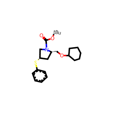 CC(C)(C)OC(=O)N1C[C@@H](Sc2ccccc2)C[C@H]1COC1CCCCC1